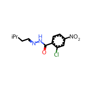 CC(C)C/C=N/NC(=O)c1ccc([N+](=O)[O-])cc1Cl